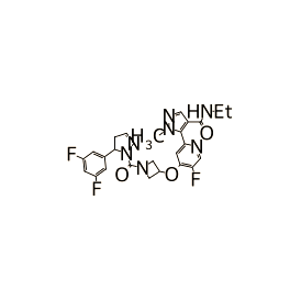 CCNC(=O)c1cnn(C)c1-c1cc(OC2CN(C(=O)N3N=CCC3c3cc(F)cc(F)c3)C2)c(F)cn1